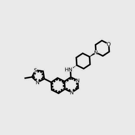 Cc1nc(-c2ccc3ncnc(N[C@H]4CC[C@H](N5CCOCC5)CC4)c3c2)cs1